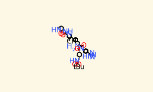 Cc1cc(C(=O)N[C@@H]2CCCNC2=O)ncc1-c1ccc(C[C@H](N)C(=O)N(c2ccc(-c3nnn[nH]3)cc2)C(=O)[C@H]2CC[C@H](CNC(=O)OC(C)(C)C)CC2)cc1